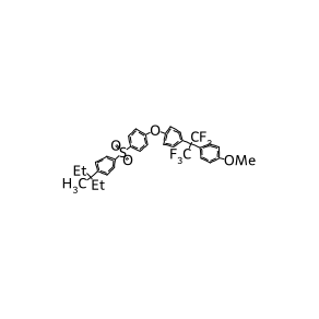 CCC(C)(CC)c1ccc(S(=O)(=O)c2ccc(Oc3ccc(C(c4ccc(OC)cc4)(C(F)(F)F)C(F)(F)F)cc3)cc2)cc1